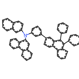 c1ccc(-c2c(-c3ccccc3)c3cc(-c4cccc(N(c5ccc6ccccc6c5)c5cc6ccccc6c6ccccc56)c4)ccc3c3ccccc23)cc1